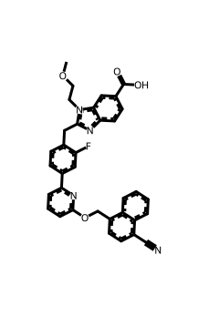 COCCn1c(Cc2ccc(-c3cccc(OCc4ccc(C#N)c5ccccc45)n3)cc2F)nc2ccc(C(=O)O)cc21